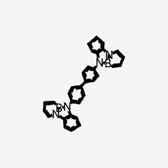 C1=CB2N(C=C1)c1ccccc1N2c1ccc(-c2ccc(N3B4C=CC=CN4c4ccccc43)cc2)cc1